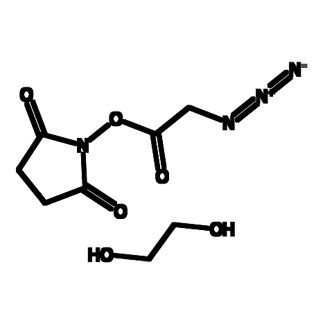 OCCO.[N-]=[N+]=NCC(=O)ON1C(=O)CCC1=O